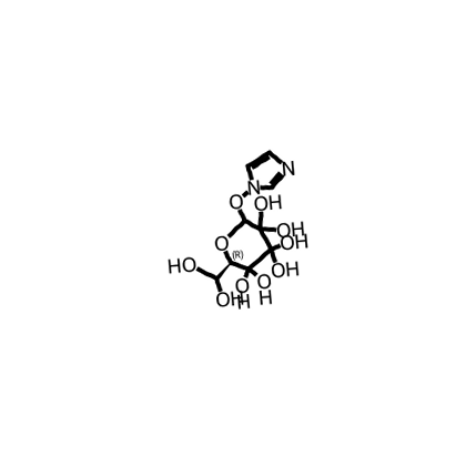 OC(O)[C@H]1OC(On2ccnc2)C(O)(O)C(O)(O)C1(O)O